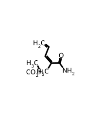 C=CC=C(C)C(N)=O.CC(=O)O